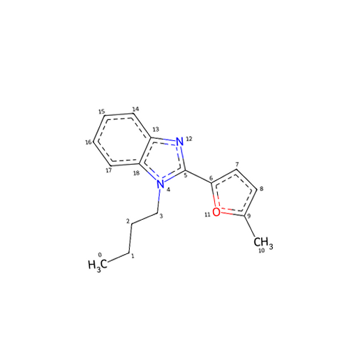 CCCCn1c(-c2ccc(C)o2)nc2ccccc21